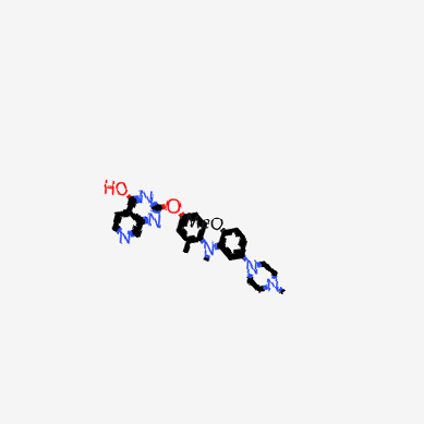 COc1ccc(N2CCN(C)CC2)cc1N(C)c1ccc(Oc2nc(O)c3ccncc3n2)cc1C